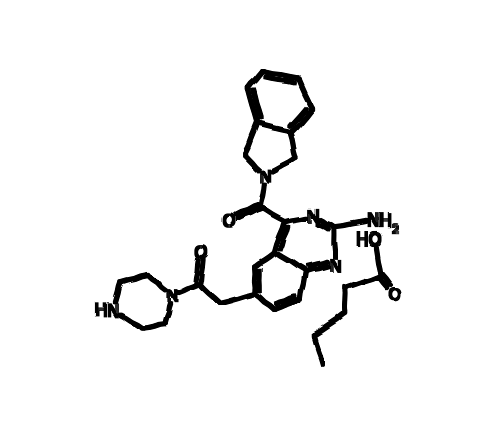 CCCCC(=O)O.Nc1nc(C(=O)N2Cc3ccccc3C2)c2cc(CC(=O)N3CCNCC3)ccc2n1